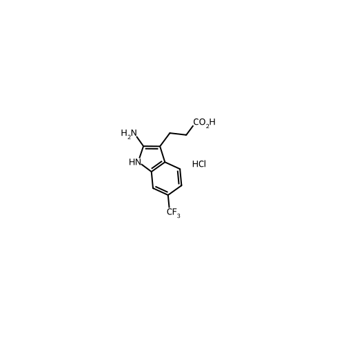 Cl.Nc1[nH]c2cc(C(F)(F)F)ccc2c1CCC(=O)O